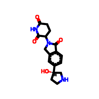 O=C1CCC(N2Cc3cc([C@]4(O)CCNC4)ccc3C2=O)C(=O)N1